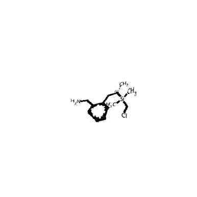 C[C@@H](Cc1ccccc1CN)[Si](C)(C)CCl